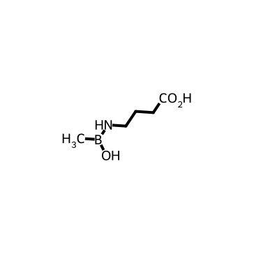 CB(O)NCCCC(=O)O